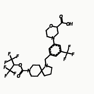 O=C(O)C1CN(c2cc(CN3CCCC34CCN(C(=O)OC(C(F)(F)F)C(F)(F)F)CC4)cc(C(F)(F)F)c2)CCO1